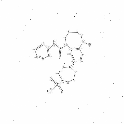 CCN1CCCCN(C(=O)Nc2ccncn2)c2nc(N3CCCN(S(C)(=O)=O)CC3)ccc21